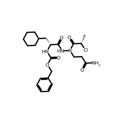 NC(=O)CCN(NC(=O)[C@@H](CC1CCCCC1)NC(=O)OCc1ccccc1)C(=O)[C@H](F)Cl